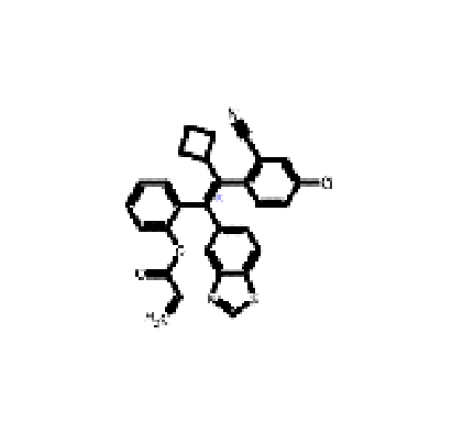 C=CC(=O)Oc1ccccc1/C(=C(/c1ccc(Cl)cc1C#N)C1CCC1)c1ccc2scnc2c1